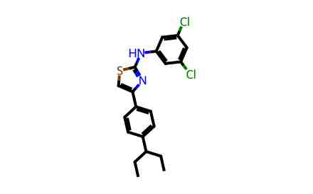 CCC(CC)c1ccc(-c2csc(Nc3cc(Cl)cc(Cl)c3)n2)cc1